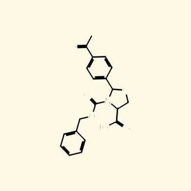 CC(=O)c1ccc(C2SCC(C(=O)O)N2C(=O)OCc2ccccc2)cc1